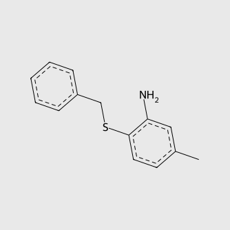 Cc1ccc(SCc2ccccc2)c(N)c1